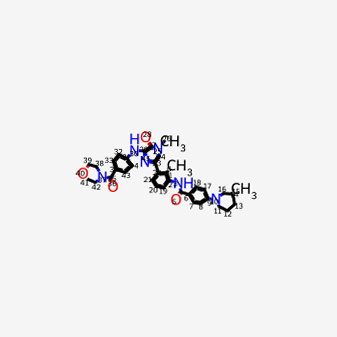 Cc1c(NC(=O)c2ccc(N3CCCC(C)C3)cc2)cccc1-c1cn(C)c(=O)c(Nc2ccc(C(=O)N3CCOCC3)cc2)n1